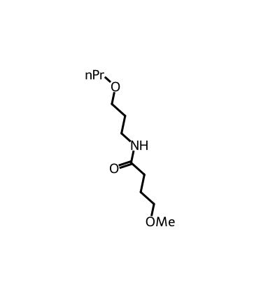 CCCOCCCNC(=O)CCCOC